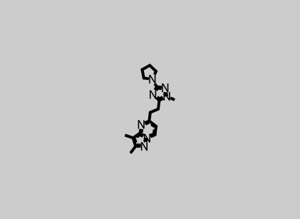 Cc1nn2ccc(CCc3nc(N4CCCC4)nn3C)nc2c1C